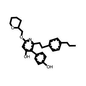 CCCc1ccc(CCc2nc(OCC3CCCCO3)cc(O)c2-c2ccc(O)cc2)cc1